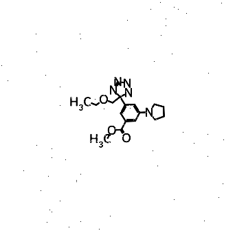 CCOCC1(c2cc(C(=O)OC)cc(N3CCCC3)c2)N=NN=N1